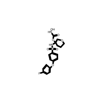 O=C(NO)OC1(NS(=O)(=O)c2ccc(Oc3ccc(F)cc3)cc2)CCCOC1